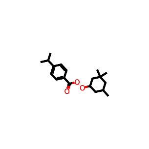 CC1C[C](OOC(=O)c2ccc(C(C)C)cc2)CC(C)(C)C1